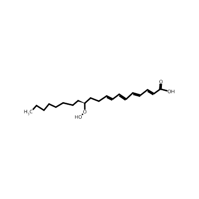 CCCCCCCC[C@@H](CC/C=C/C=C/C=C/C=C/C(=O)O)OO